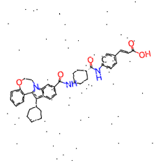 O=C(O)/C=C/c1ccc(NC(=O)[C@H]2CC[C@@H](NC(=O)c3ccc4c(C5CCCCC5)c5n(c4c3)CCOc3ccccc3-5)CC2)cc1